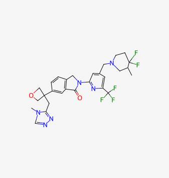 CC1CN(Cc2cc(N3Cc4ccc(C5(Cc6nncn6C)COC5)cc4C3=O)nc(C(F)(F)F)c2)CCC1(F)F